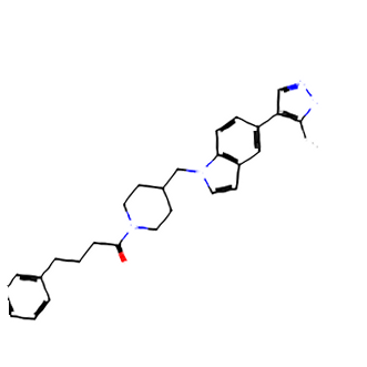 N#Cc1[nH]ncc1-c1ccc2c(ccn2CC2CCN(C(=O)CCCc3ccccc3)CC2)c1